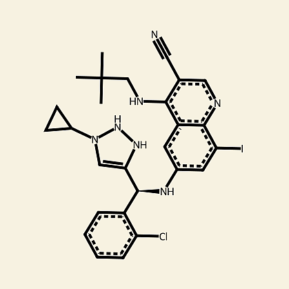 CC(C)(C)CNc1c(C#N)cnc2c(I)cc(N[C@H](C3=CN(C4CC4)NN3)c3ccccc3Cl)cc12